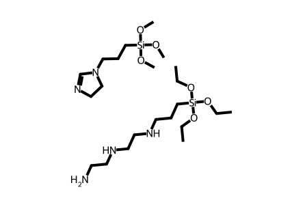 CCO[Si](CCCNCCNCCN)(OCC)OCC.CO[Si](CCCN1C=NCC1)(OC)OC